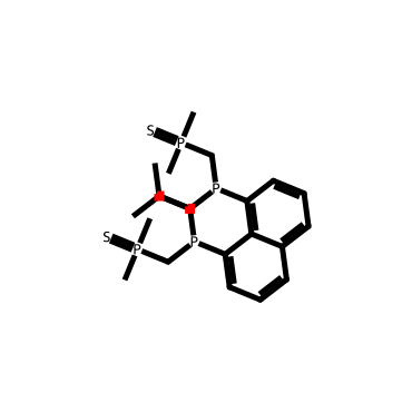 CCCP(CP(C)(C)=S)c1cccc2cccc(P(CCC)CP(C)(C)=S)c12